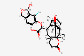 C[C@@H]1CC[C@@]23CCC(=O)[C@H]2[C@@]1(C)[C@H](C(Oc1ccc2c(c1F)B(O)OC2)C(=O)O)C[C@@]1(C)CCC(=O)O[C@H]1[C@@H]3C